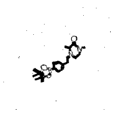 CC1C(=O)N(C)CCN1CCc1ccc(B2OC(C)(C)C(C)(C)O2)cc1